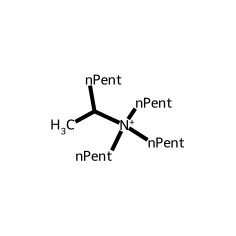 CCCCCC(C)[N+](CCCCC)(CCCCC)CCCCC